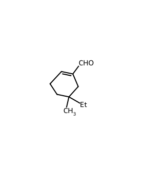 CCC1(C)CCC=C(C=O)C1